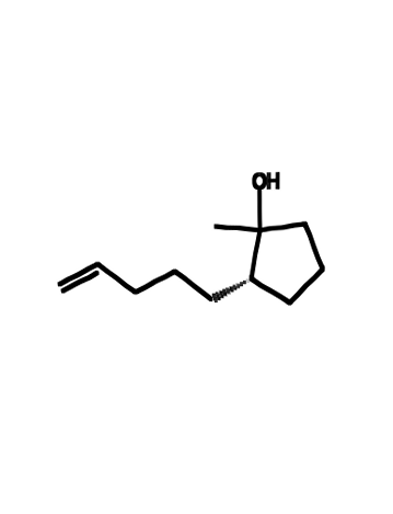 C=CCCC[C@H]1CCCC1(C)O